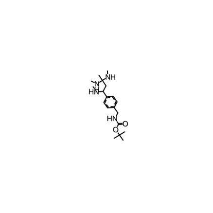 CNC(CC(C)(NC)NC)c1ccc(CNC(=O)OC(C)(C)C)cc1